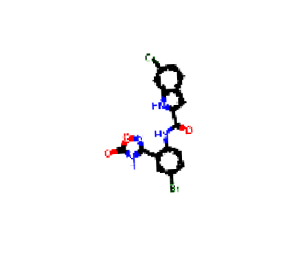 O=C(Nc1ccc(Br)cc1-c1noc(=O)[nH]1)c1cc2ccc(Cl)cc2[nH]1